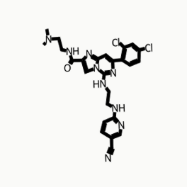 CN(C)CCNC(=O)c1cn2c(NCCNc3ccc(C#N)cn3)nc(-c3ccc(Cl)cc3Cl)cc2n1